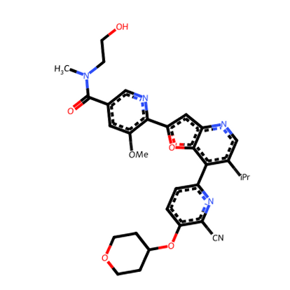 COc1cc(C(=O)N(C)CCO)cnc1-c1cc2ncc(C(C)C)c(-c3ccc(OC4CCOCC4)c(C#N)n3)c2o1